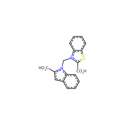 O=C(O)c1cc2ccccc2n1C[n+]1c(C(=O)O)sc2ccccc21